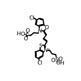 O=S(=O)(O)CCCN1C(=CC=Cc2sc3ccc(Cl)cc3[n+]2CCCS(=O)(=O)O)Oc2ccc(Cl)cc21